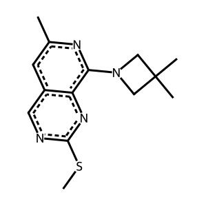 CSc1ncc2cc(C)nc(N3CC(C)(C)C3)c2n1